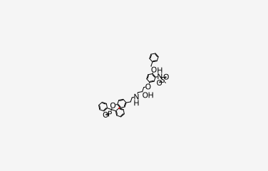 CS(=O)(=O)Nc1cc(OCC(O)CNCCc2ccc(OC(P=O)(c3ccccc3)c3ccccc3)cc2)ccc1OCc1ccccc1